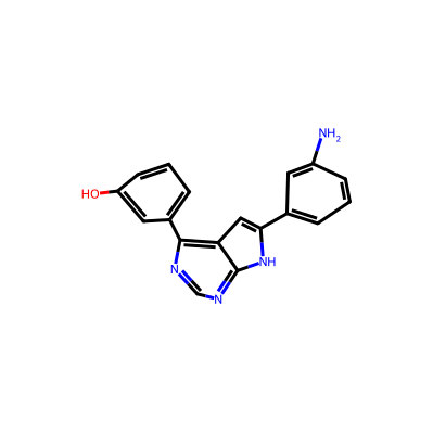 Nc1cccc(-c2cc3c(-c4cccc(O)c4)ncnc3[nH]2)c1